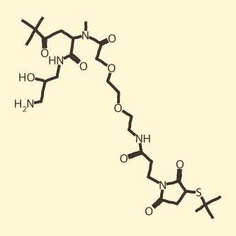 CN(C(=O)COCCOCCNC(=O)CCN1C(=O)CC(SC(C)(C)C)C1=O)C(CC(=O)C(C)(C)C)C(=O)NCC(O)CN